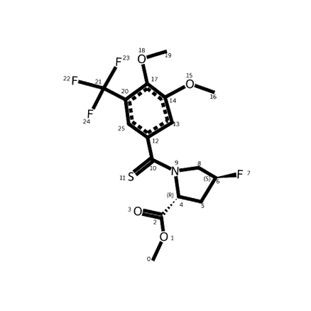 COC(=O)[C@H]1C[C@H](F)CN1C(=S)c1cc(OC)c(OC)c(C(F)(F)F)c1